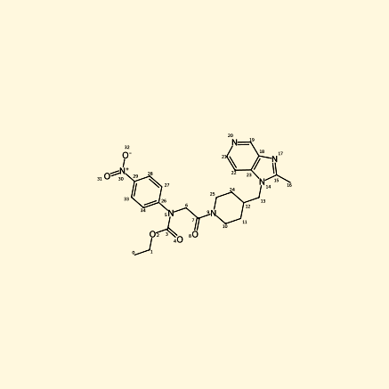 CCOC(=O)N(CC(=O)N1CCC(Cn2c(C)nc3cnccc32)CC1)c1ccc([N+](=O)[O-])cc1